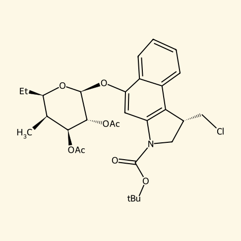 CC[C@H]1O[C@@H](Oc2cc3c(c4ccccc24)[C@H](CCl)CN3C(=O)OC(C)(C)C)[C@H](OC(C)=O)[C@@H](OC(C)=O)[C@H]1C